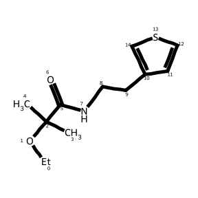 CCOC(C)(C)C(=O)NCCc1ccsc1